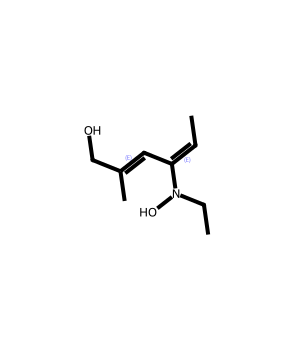 C/C=C(\C=C(/C)CO)N(O)CC